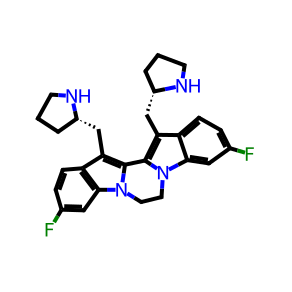 Fc1ccc2c(C[C@@H]3CCCN3)c3n(c2c1)CCn1c-3c(C[C@@H]2CCCN2)c2ccc(F)cc21